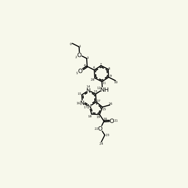 CCOCC(=O)c1ccc(C)c(Nc2ncnn3cc(C(=O)OCC)c(C)c23)c1